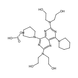 O=S(O)O.OCCN(CCO)c1nc(N2CCCCC2)c2nc(N(CCO)CCO)nc(N3CCCCC3)c2n1